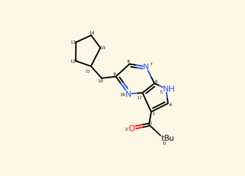 CC(C)(C)C(=O)c1c[nH]c2ncc(CC3CCCC3)nc12